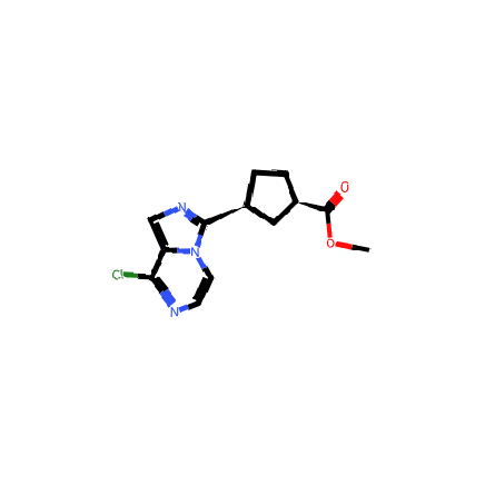 COC(=O)[C@@H]1CC[C@H](c2ncc3c(Cl)nccn23)C1